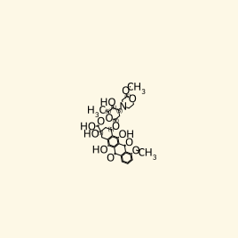 COc1cccc2c1C(=O)c1c(O)c3c(c(O)c1C2=O)C[C@@](O)(C(=O)O)C[C@@H]3O[C@H]1C[C@H](N2CCO[C@H](OC)C2)[C@H](O)[C@H](C)O1